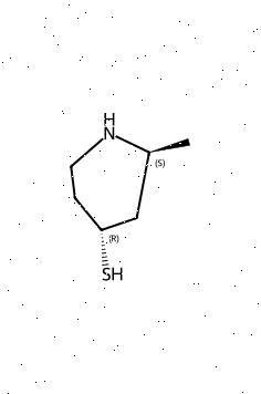 C[C@H]1C[C@H](S)CCN1